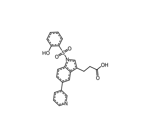 O=C(O)CCc1cn(S(=O)(=O)c2ccccc2O)c2ccc(-c3cccnc3)cc12